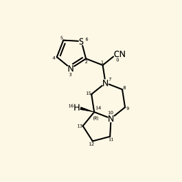 N#CC(c1nccs1)N1CCN2CCC[C@@H]2C1